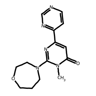 Cn1c(N2CCCOCC2)nc(-c2ccncn2)cc1=O